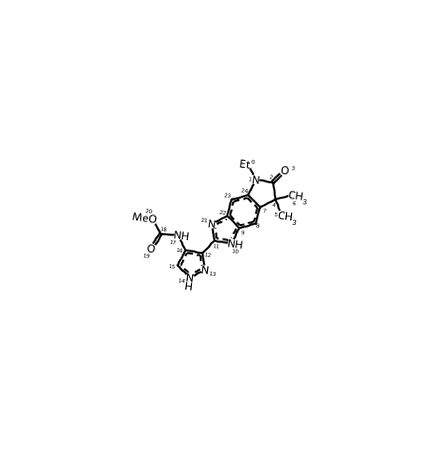 CCN1C(=O)C(C)(C)c2cc3[nH]c(-c4n[nH]cc4NC(=O)OC)nc3cc21